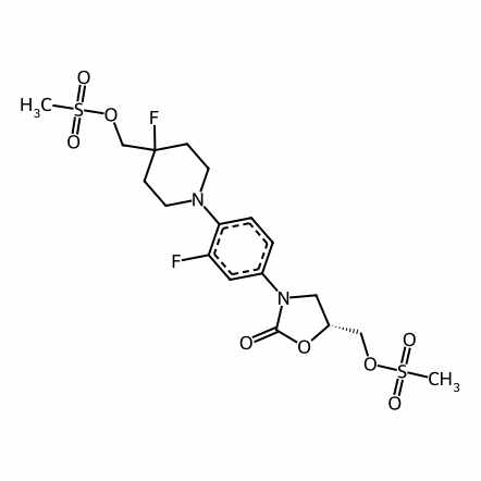 CS(=O)(=O)OC[C@H]1CN(c2ccc(N3CCC(F)(COS(C)(=O)=O)CC3)c(F)c2)C(=O)O1